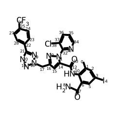 Cc1cc(I)cc(C(N)=O)c1NC(=O)c1cc(Cn2nnc(-c3ccc(C(F)(F)F)cc3)n2)nn1-c1ncccc1Cl